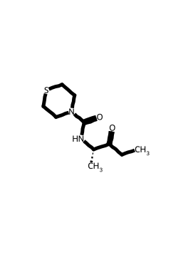 CCC(=O)[C@H](C)NC(=O)N1CCSCC1